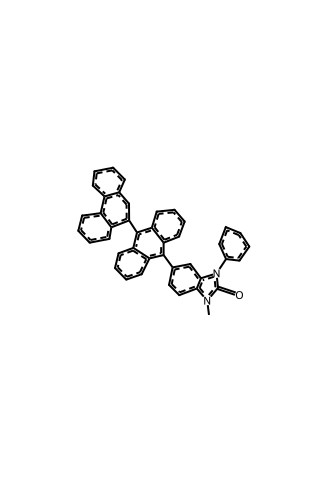 Cn1c(=O)n(-c2ccccc2)c2cc(-c3c4ccccc4c(-c4cc5ccccc5c5ccccc45)c4ccccc34)ccc21